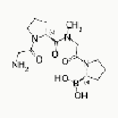 CN(CC(=O)N1CCC[C@H]1B(O)O)C(=O)[C@@H]1CCCN1C(=O)CN